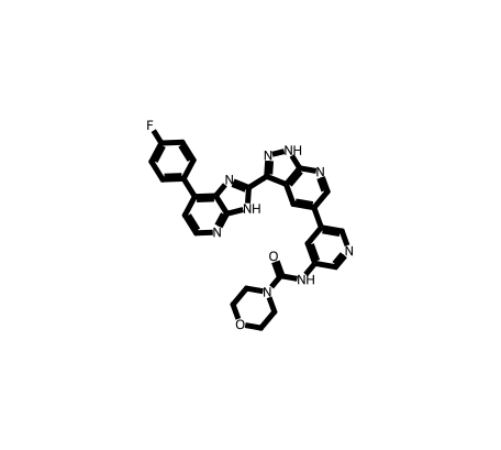 O=C(Nc1cncc(-c2cnc3[nH]nc(-c4nc5c(-c6ccc(F)cc6)ccnc5[nH]4)c3c2)c1)N1CCOCC1